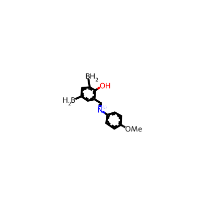 Bc1cc(B)c(O)c(/C=N/c2ccc(OC)cc2)c1